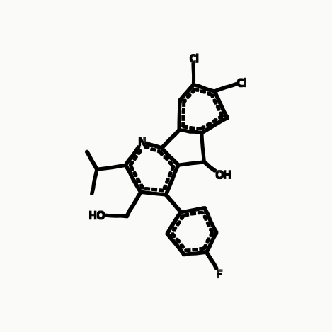 CC(C)c1nc2c(c(-c3ccc(F)cc3)c1CO)C(O)c1cc(Cl)c(Cl)cc1-2